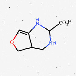 O=C(O)C1NCC2COC=C2N1